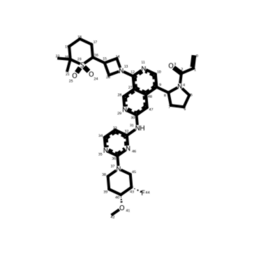 C=CC(=O)N1CCCC1c1cnc(N2CC(C3CCCC(C)(C)S3(=O)=O)C2)c2cnc(Nc3ccnc(N4CC[C@@H](OC)[C@@H](F)C4)n3)cc12